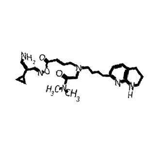 CN(C)C(=O)CN(CCCCc1ccc2c(n1)NCCC2)CCCC(=O)O/N=C/C(=C\N)C1CC1